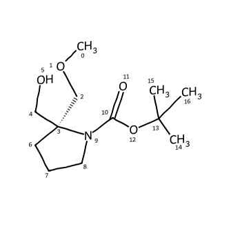 COC[C@@]1(CO)CCCN1C(=O)OC(C)(C)C